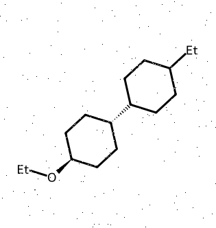 CCO[C@H]1CC[C@H](C2CCC(CC)CC2)CC1